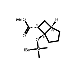 COC(=O)[C@@H]1C[C@@H]2CCC[C@@]21O[Si](C)(C)C(C)(C)C